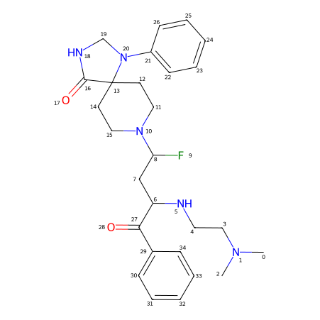 CN(C)CCNC(CC(F)N1CCC2(CC1)C(=O)NCN2c1ccccc1)C(=O)c1ccccc1